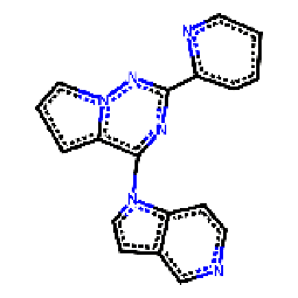 c1ccc(-c2nc(-n3ccc4cnccc43)c3cccn3n2)nc1